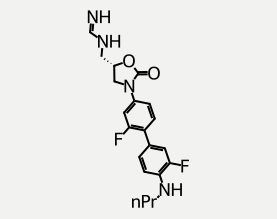 CCCNc1ccc(-c2ccc(N3C[C@H](CNC=N)OC3=O)cc2F)cc1F